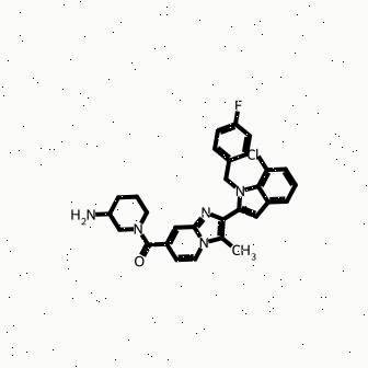 Cc1c(-c2cc3cccc(Cl)c3n2Cc2ccc(F)cc2)nc2cc(C(=O)N3CCCC(N)C3)ccn12